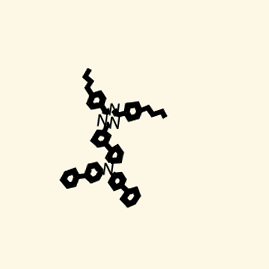 CCCCc1ccc(-c2nc(-c3ccc(CCCC)cc3)nc(-c3cccc(-c4cccc(N(c5ccc(-c6ccccc6)cc5)c5ccc(-c6ccccc6)cc5)c4)c3)n2)cc1